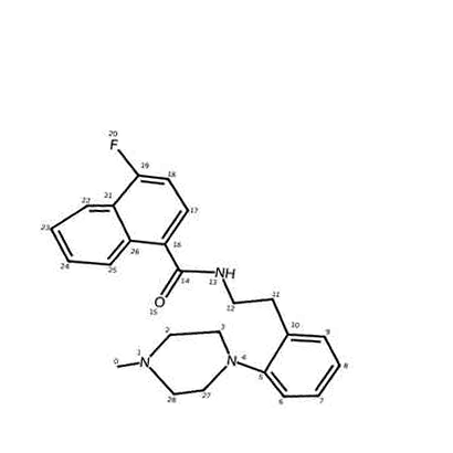 CN1CCN(c2ccccc2CCNC(=O)c2ccc(F)c3ccccc23)CC1